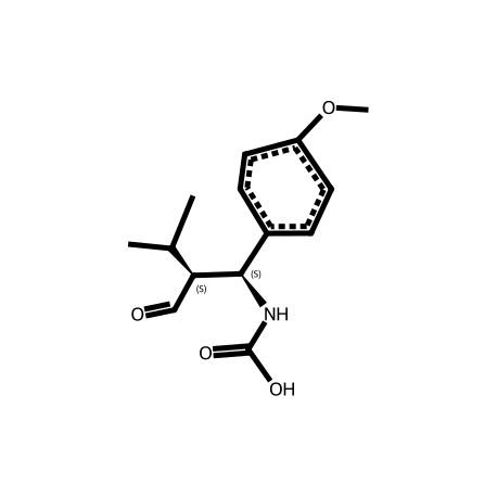 COc1ccc([C@@H](NC(=O)O)[C@@H](C=O)C(C)C)cc1